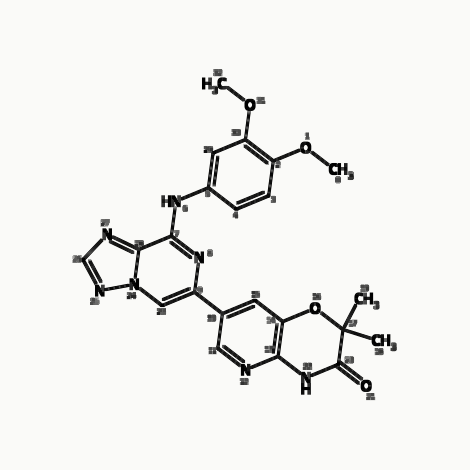 COc1ccc(Nc2nc(-c3cnc4c(c3)OC(C)(C)C(=O)N4)cn3ncnc23)cc1OC